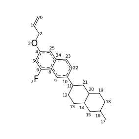 C=CCOc1cc(F)c2cc(C3CCC4CC(C)CCC4C3)ccc2c1